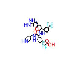 N=C(N)c1ccc(CC(C(=O)N[C@H](C(=O)NCC2CCNCC2)C2CCCCC2)c2cccc(C(F)(F)F)c2)cc1.O=C(O)C(F)(F)F